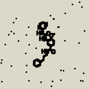 COc1ccc(C(=O)NCCCc2ccccc2)cc1NC(=O)Nc1cnccn1